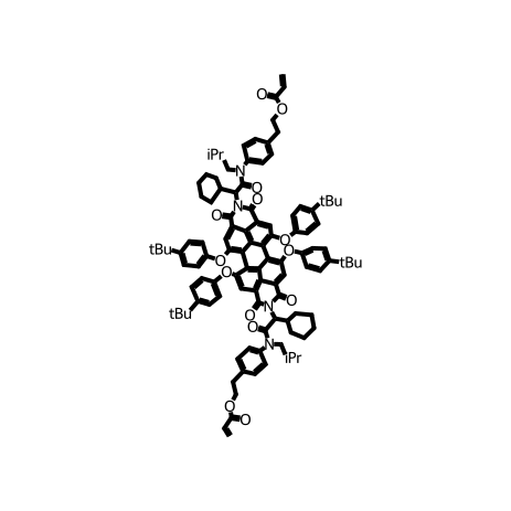 C=CC(=O)OCCc1ccc(N(CC(C)C)C(=O)C(C2CCCCC2)N2C(=O)c3cc(Oc4ccc(C(C)(C)C)cc4)c4c5c(Oc6ccc(C(C)(C)C)cc6)cc6c7c(cc(Oc8ccc(C(C)(C)C)cc8)c(c8c(Oc9ccc(C(C)(C)C)cc9)cc(c3c48)C2=O)c75)C(=O)N(C(C(=O)N(CC(C)C)c2ccc(CCOC(=O)C=C)cc2)C2CCCCC2)C6=O)cc1